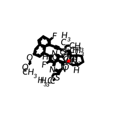 CCCCOC(=O)N1[C@@H]2CC[C@H]1C1COc3nc(-c4cc(OCOC)cc5ccc(F)c(C#C[Si](C(C)C)(C(C)C)C(C)C)c45)c(F)c4nc(SC)nc(c34)N1C2